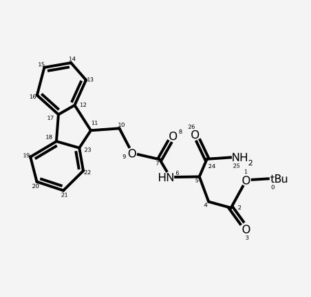 CC(C)(C)OC(=O)CC(NC(=O)OCC1c2ccccc2-c2ccccc21)C(N)=O